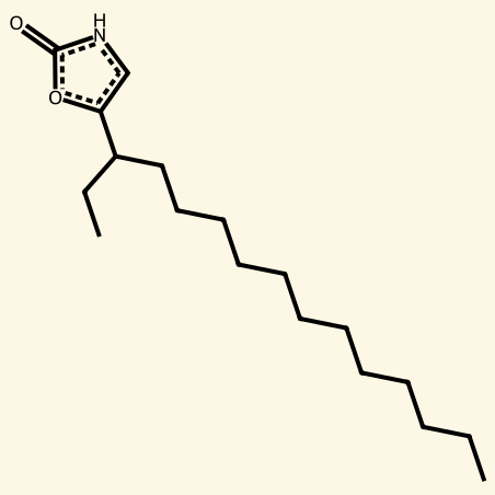 CCCCCCCCCCCCC(CC)c1c[nH]c(=O)o1